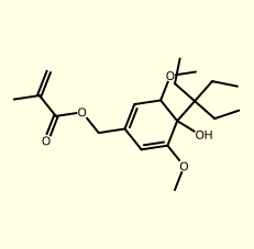 C=C(C)C(=O)OCC1=CC(OC)C(O)(C(CC)(CC)CC)C(OC)=C1